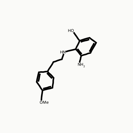 COc1ccc(CCNc2c(N)cccc2O)cc1